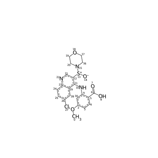 COc1ccc(C(=O)O)c(Nc2c([S+]([O-])N3CCOCC3)cnc3ccc(Cl)cc23)c1